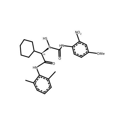 COc1ccc(NC(=O)N(S)[C@@H](C(=O)Nc2c(C)cccc2C)C2CCCCC2)c([N+](=O)[O-])c1